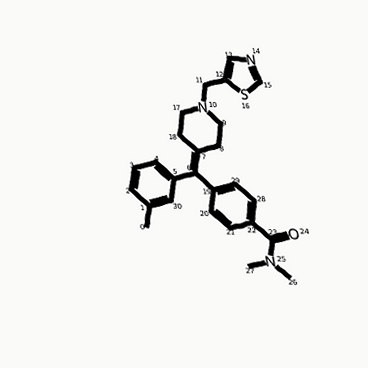 Cc1cccc(C(=C2CCN(Cc3cncs3)CC2)c2ccc(C(=O)N(C)C)cc2)c1